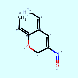 C/C=C1/C=C(N=O)CO/C1=C/C